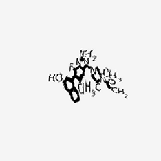 C=CC(=O)N1[C@H](C)CN(c2nc(N)nc3c(F)c(-c4cc(O)cc5ccccc45)c(Cl)cc23)C[C@@H]1C